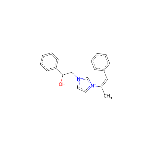 CC(=Cc1ccccc1)[n+]1ccn(CC(O)c2ccccc2)c1